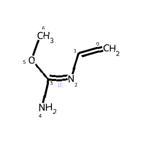 C=C/N=C(/N)OC